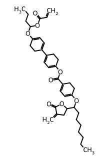 C=CC(=O)OC(CCC)OC1=CC=C(C2=CC=C(OC(=O)C3=CC=C(OC(CCCCCCC)C4CC(=C)C(=O)O4)CC3)CC2)CC1